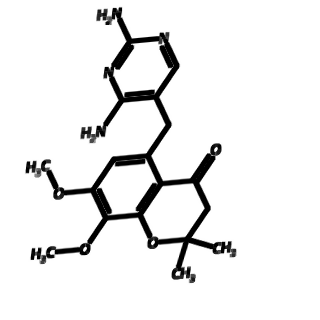 COc1cc(Cc2cnc(N)nc2N)c2c(c1OC)OC(C)(C)CC2=O